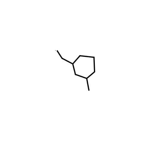 [CH2]CC1CCCC(C)C1